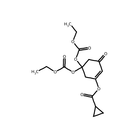 CCOC(=O)OC1(OC(=O)OCC)CC(=O)C=C(OC(=O)C2CC2)C1